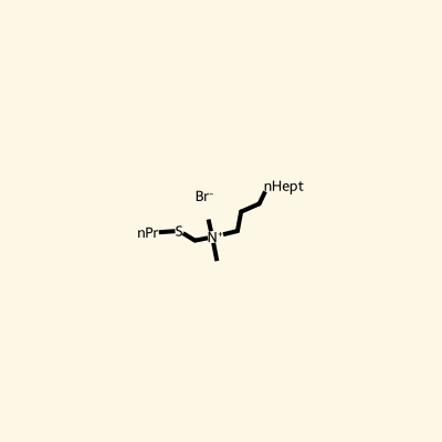 CCCCCCCCCC[N+](C)(C)CSCCC.[Br-]